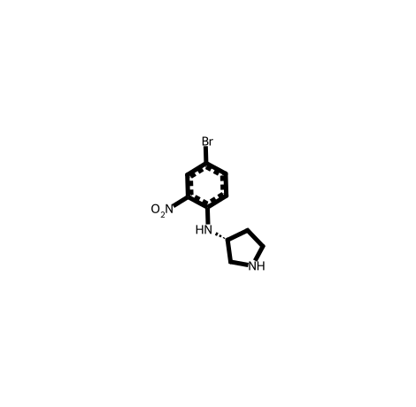 O=[N+]([O-])c1cc(Br)ccc1N[C@@H]1CCNC1